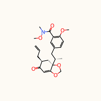 C=CC[C@H]1C[C@]2([C@@H](C)Cc3ccc(OC)c(C(=O)N(C)OC)c3)OCOC2=CC1=O